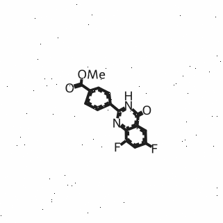 COC(=O)c1ccc(-c2nc3c(F)cc(F)cc3c(=O)[nH]2)cc1